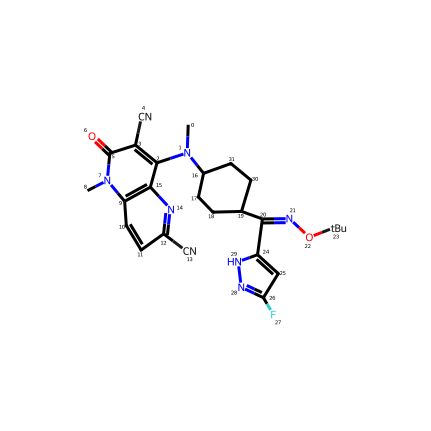 CN(c1c(C#N)c(=O)n(C)c2ccc(C#N)nc12)C1CCC(C(=NOC(C)(C)C)c2cc(F)n[nH]2)CC1